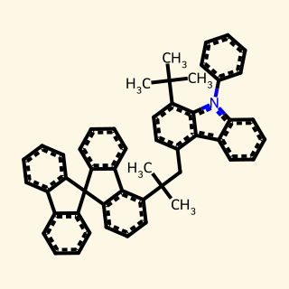 CC(C)(C)c1ccc(CC(C)(C)c2cccc3c2-c2ccccc2C32c3ccccc3-c3ccccc32)c2c3ccccc3n(-c3ccccc3)c12